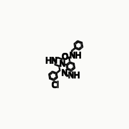 O=C(NCc1ccccc1)c1ccc2[nH]cnc2c1N1CCNCC1Cc1cccc(Cl)c1